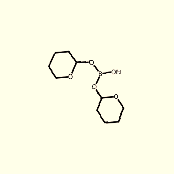 OB(OC1CCCCO1)OC1CCCCO1